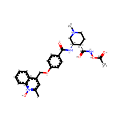 Cc1cc(COc2ccc(C(=O)N[C@@H]3CN(C(C)C)CC[C@@H]3C(=O)NOC(=O)C(F)(F)F)cc2)c2ccccc2[n+]1[O-]